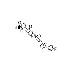 O=C1CCC(N2Cc3ccc(CNC(=O)OCc4cccc(-c5ccc(F)cc5)n4)cc3C2=O)C(=O)N1